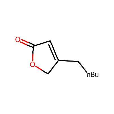 CCCCCC1=CC(=O)OC1